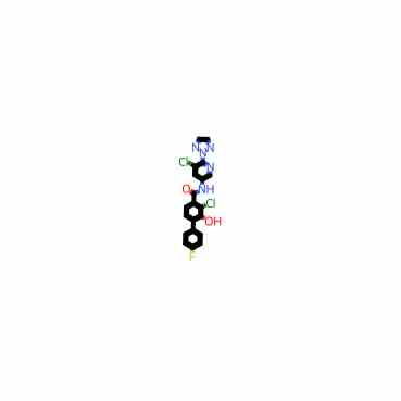 O=C(Nc1cnc(-n2nccn2)c(Cl)c1)c1ccc(-c2ccc(F)cc2)c(O)c1Cl